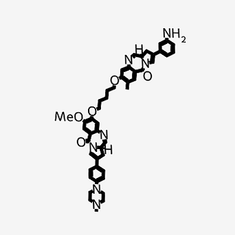 COc1cc2c(cc1OCCCCCOc1cc3c(cc1C)C(=O)N1C=C(c4cccc(N)c4)C[C@H]1C=N3)N=C[C@@H]1CC(c3ccc(N4CCN(C)CC4)cc3)=CN1C2=O